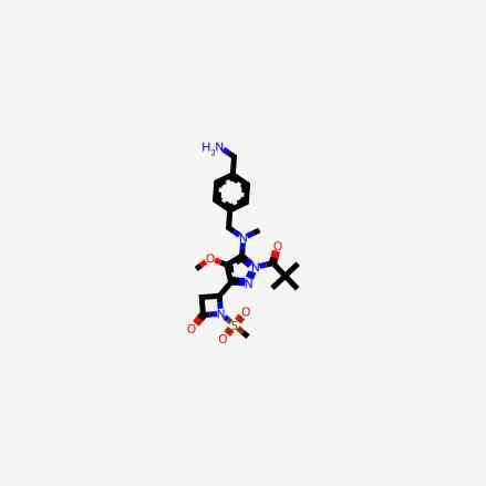 COc1c(C2CC(=O)N2S(C)(=O)=O)nn(C(=O)C(C)(C)C)c1N(C)Cc1ccc(CN)cc1